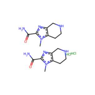 Cl.Cl.Cn1c(C(N)=O)nc2c1CCNC2.Cn1c(C(N)=O)nc2c1CCNC2